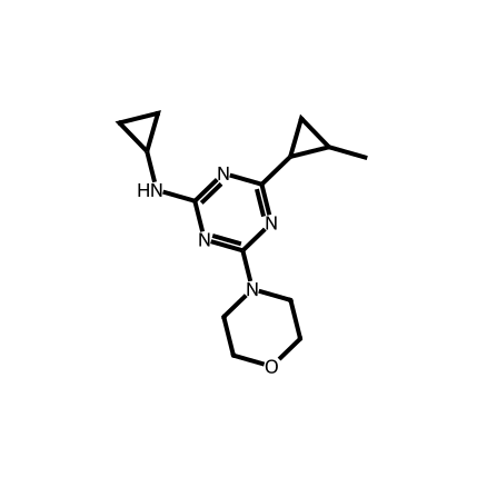 CC1CC1c1nc(NC2CC2)nc(N2CCOCC2)n1